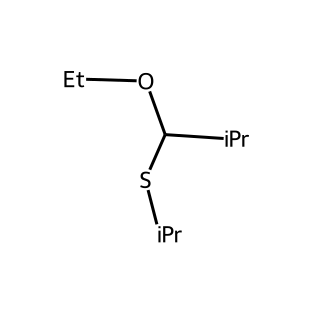 CCOC(SC(C)C)C(C)C